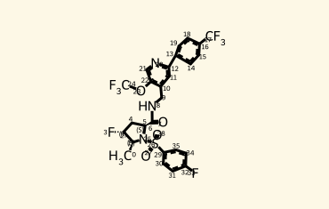 C[C@H]1[C@H](F)C[C@@H](C(=O)NCc2cc(-c3ccc(C(F)(F)F)cc3)ncc2OC(F)(F)F)N1S(=O)(=O)c1ccc(F)cc1